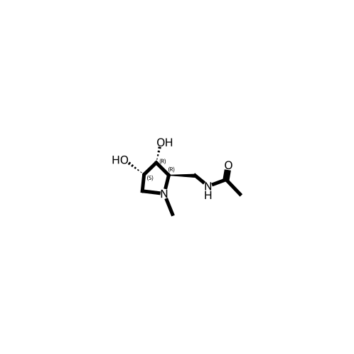 CC(=O)NC[C@@H]1[C@@H](O)[C@@H](O)CN1C